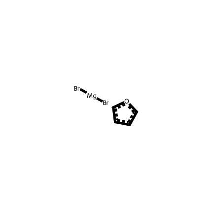 [Br][Mg][Br].[c]1ccco1